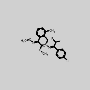 CO/N=C(/C(=O)OC)c1cccc(C)c1CO/N=C(/c1ccc(Cl)cc1)C(F)F